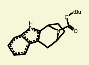 CC(C)(C)OC(=O)N1C2CCC1c1[nH]c3ccccc3c1C2